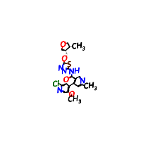 COc1cnc(Cl)cc1-c1cc(C)ncc1C(=O)Nc1nnc(OC[C@@H]2COC[C@@H]2C)s1